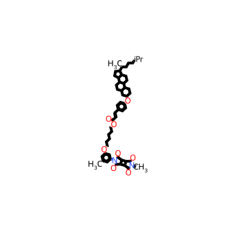 Cc1cc(OCCCCCCOC(=O)/C=C/c2ccc(OC3CCC4C(CCC5C4CCC4C(C(C)CCCC(C)C)CCC45)C3)cc2)cc(N2C(=O)C3C4C(=O)N(C)C(=O)C4C3C2=O)c1